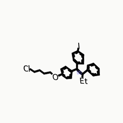 CC/C(=C(/c1ccc(I)cc1)c1ccc(OCCCCCl)cc1)c1ccccc1